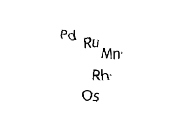 [Mn].[Os].[Pd].[Rh].[Ru]